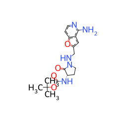 CC(C)(C)OC(=O)N[C@H]1CCN(NCc2cc3c(N)nccc3o2)C1=O